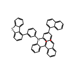 c1cc(-c2cccc3ccccc23)cc(N(c2cccc(-c3cccc4sc5ccccc5c34)c2)c2ccccc2-c2cccc3ccccc23)c1